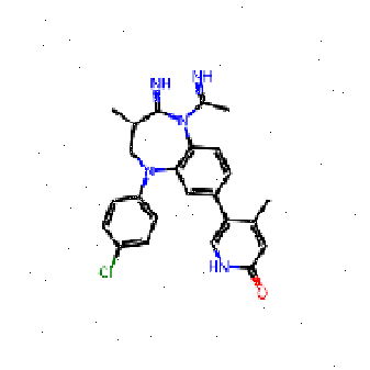 CC(=N)N1C(=N)[C@H](C)CN(c2ccc(Cl)cc2)c2cc(-c3c[nH]c(=O)cc3C)ccc21